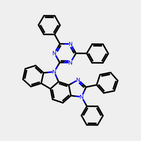 c1ccc(-c2nc(-c3ccccc3)nc(-n3c4ccccc4c4ccc5c(nc(-c6ccccc6)n5-c5ccccc5)c43)n2)cc1